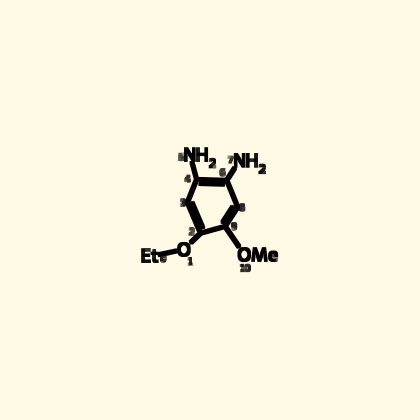 CCOc1cc(N)c(N)cc1OC